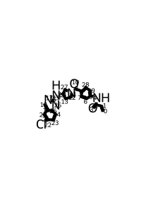 C=CC(=O)Nc1ccc(C(=O)N2CC[C@H](Nc3ncc4cc(Cl)ccc4n3)C2)cc1